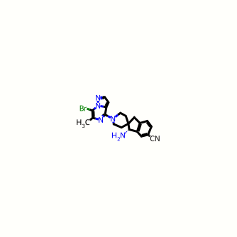 Cc1nc(N2CCC3(CC2)Cc2ccc(C#N)cc2[C@@H]3N)c2ccnn2c1Br